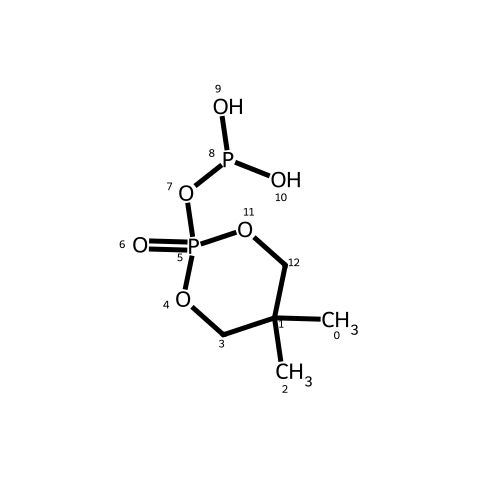 CC1(C)COP(=O)(OP(O)O)OC1